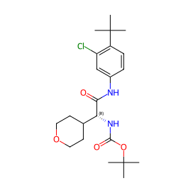 CC(C)(C)OC(=O)N[C@@H](C(=O)Nc1ccc(C(C)(C)C)c(Cl)c1)C1CCOCC1